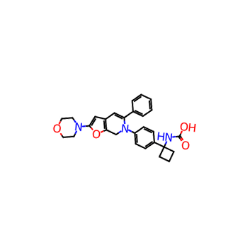 O=C(O)NC1(c2ccc(N3Cc4oc(N5CCOCC5)cc4C=C3c3ccccc3)cc2)CCC1